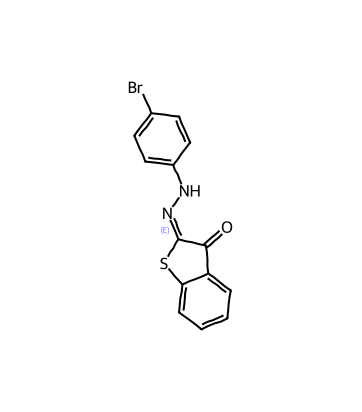 O=C1/C(=N\Nc2ccc(Br)cc2)Sc2ccccc21